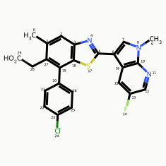 Cc1cc2nc(-c3cn(C)c4ncc(F)cc34)sc2c(-c2ccc(Cl)cc2)c1CC(=O)O